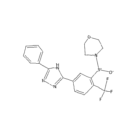 [O-][S+](c1cc(-c2nnc(-c3ccccc3)[nH]2)ccc1C(F)(F)F)N1CCOCC1